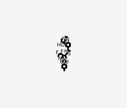 Cc1ccc(S(=O)(=O)n2cc(-c3nc(-c4cccc([C@]5(O)CCn6ccnc65)c4)cs3)c3c(F)c(F)cnc32)cc1